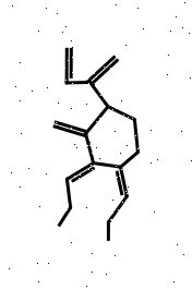 C=CC(=C)C1CCC(=C/CC)/C(=C\CC)C1=C